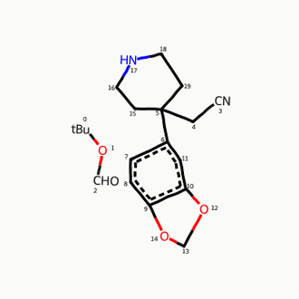 CC(C)(C)OC=O.N#CCC1(c2ccc3c(c2)OCO3)CCNCC1